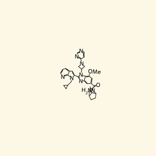 COc1cc(C(=O)N2CC3CCC2[C@@H]3N)cc2nc(-c3cc4cccnc4n3CC3CC3)n(C3CN(c4ccncn4)C3)c12